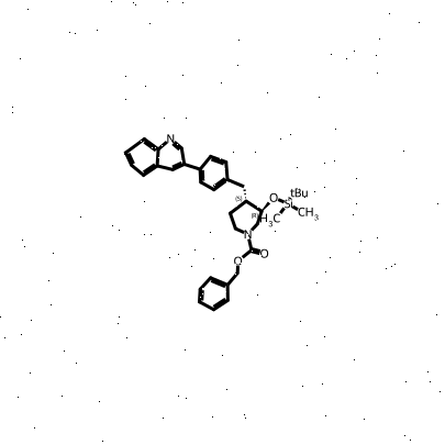 CC(C)(C)[Si](C)(C)O[C@H]1CN(C(=O)OCc2ccccc2)CC[C@@H]1Cc1ccc(-c2cnc3ccccc3c2)cc1